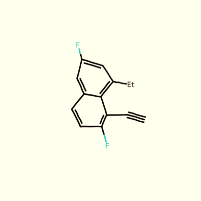 C#Cc1c(F)ccc2cc(F)cc(CC)c12